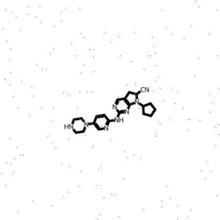 N#CC1Cc2cnc(Nc3ccc(N4CCNCC4)cn3)nc2N1C1CCCC1